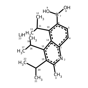 Cc1nc2ccc(B(O)O)c(C(C)C)c2c(C(C)C)c1C(C)C.[LiH]